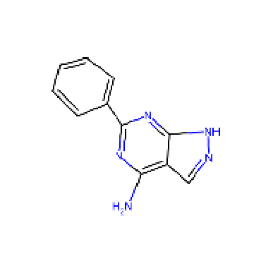 Nc1nc(-c2ccccc2)nc2[nH]ncc12